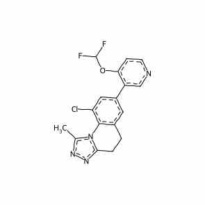 Cc1nnc2n1-c1c(Cl)cc(-c3cnccc3OC(F)F)cc1CC2